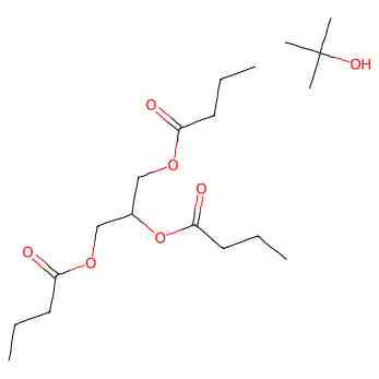 CC(C)(C)O.CCCC(=O)OCC(COC(=O)CCC)OC(=O)CCC